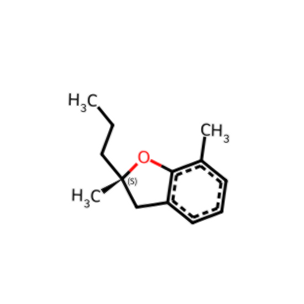 CCC[C@@]1(C)Cc2cccc(C)c2O1